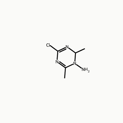 CC1=NC(Cl)=NC(C)N1N